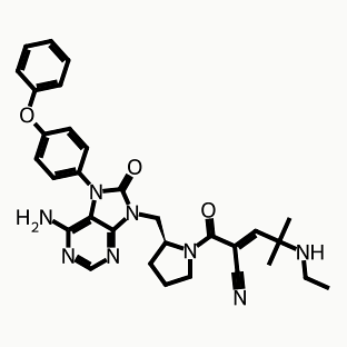 CCNC(C)(C)C=C(C#N)C(=O)N1CCC[C@H]1Cn1c(=O)n(-c2ccc(Oc3ccccc3)cc2)c2c(N)ncnc21